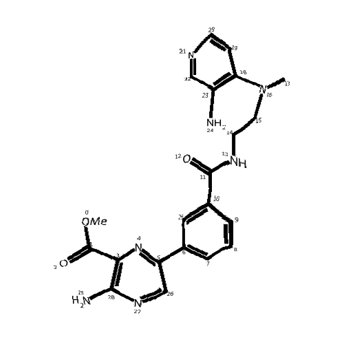 COC(=O)c1nc(-c2cccc(C(=O)NCCN(C)c3ccncc3N)c2)cnc1N